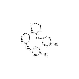 CCc1ccc(OC2CCCCO2)cc1.CCc1ccc(OC2CCCCO2)cc1